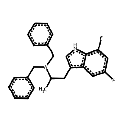 CC(Cc1c[nH]c2c(F)cc(F)cc12)N(Cc1ccccc1)Cc1ccccc1